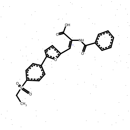 CCS(=O)(=O)c1ccc(-c2ccc(/C=C(/NC(=O)c3ccccc3)C(=O)O)o2)cc1